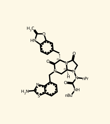 C=C1Nc2ccc(C[C@H]3C(=O)N(Cc4cccc5sc(N)nc45)C[C@H]4N3C(=O)CN4N(CCC)C(=O)NCCCC)cc2O1